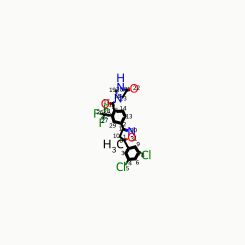 CC1(c2cc(Cl)cc(Cl)c2)CC(c2ccc(C(=O)N3CNC(=O)C3)c(C(F)(F)F)c2)=NO1